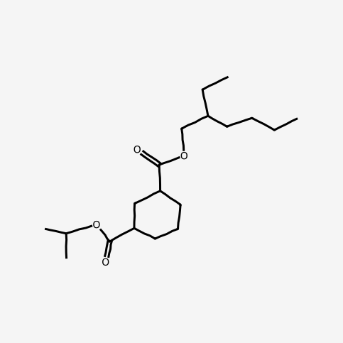 CCCCC(CC)COC(=O)C1CCCC(C(=O)OC(C)C)C1